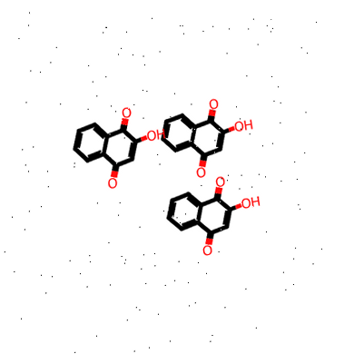 O=C1C=C(O)C(=O)c2ccccc21.O=C1C=C(O)C(=O)c2ccccc21.O=C1C=C(O)C(=O)c2ccccc21